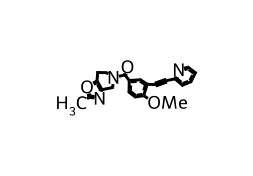 COc1ccc(C(=O)N2CCc3oc(C)nc3C2)cc1C#Cc1ccccn1